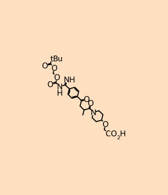 CC(CC(=O)c1ccc(C(=N)NC(=O)OCOC(=O)C(C)(C)C)cc1)C(=O)N1CCC(OCC(=O)O)CC1